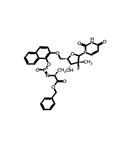 C[C@H](/N=[P+](/[O-])Oc1c(OC[C@H]2OC(n3ccc(=O)[nH]c3=O)[C@](C)(F)[C@@H]2O)ccc2ccccc12)C(=O)OCc1ccccc1